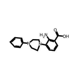 Nc1c(C(=O)O)cccc1N1CCN(c2ccccc2)CC1